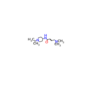 CC(C)N1CCC(NC(=O)/C=C/CN(C)C)CC1